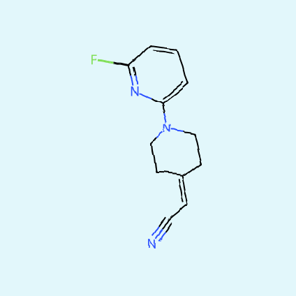 N#CC=C1CCN(c2cccc(F)n2)CC1